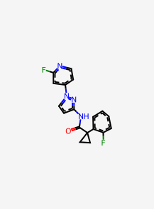 O=C(Nc1ccn(-c2ccnc(F)c2)n1)C1(c2ccccc2F)CC1